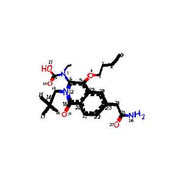 CCCCOc1c(N(C)C(=O)O)n(CC(C)(C)C)c(=O)c2ccc(CC(N)=O)cc12